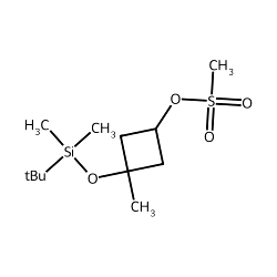 CC1(O[Si](C)(C)C(C)(C)C)CC(OS(C)(=O)=O)C1